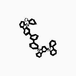 c1cc(-c2cccc(-n3c4ccccc4c4cc(-n5c6ccccc6c6ccccc65)ccc43)c2)cc(-c2ccc3c4cccc5c4n(c3c2)-c2ccccc2O5)c1